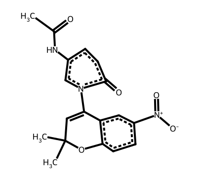 CC(=O)Nc1ccc(=O)n(C2=CC(C)(C)Oc3ccc([N+](=O)[O-])cc32)c1